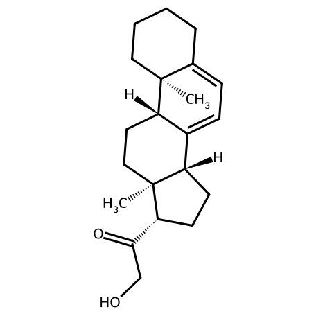 C[C@]12CC[C@H]3C(=CC=C4CCCC[C@@]43C)[C@@H]1CC[C@@H]2C(=O)CO